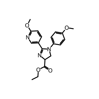 CCOC(=O)C1CN(c2ccc(OC)cc2)C(c2ccc(OC)nc2)=N1